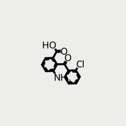 Nc1cccc(C(=O)O)c1C(=O)c1ccccc1Cl